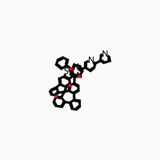 c1ccc(-c2cc(-c3ccc4c(c3)C3(c5ccccc5-c5ccccc5-4)c4ccccc4-c4cc5sc6ccccc6c5cc43)nc(-c3ccc(-c4cccnc4)nc3)n2)cc1